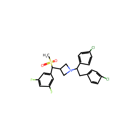 CS(=O)(=O)C(c1cc(F)cc(F)c1)C1CN(C(Cc2ccc(Cl)cc2)c2ccc(Cl)cc2)C1